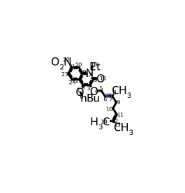 CCCCOc1c(OC/C=C(\C)CCC=C(C)C)c(=O)n(CC)c2cc([N+](=O)[O-])ccc12